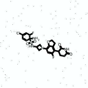 NC1(S(=O)(=O)NC2CN(c3cc(F)c(C4CCC(=O)NC4=O)c4c3OCC4)C2)C=CC(Cl)=CC1F